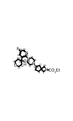 CCOC(=O)N1CC2(CC[C@@H](N3CCN(c4ncc(F)cc4C4(O)CCOCC4)CC3)C2)C1